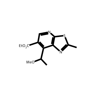 CCOC(=O)c1cnc2sc(C)nc2c1C(C)OC